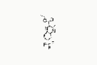 CCOC(=O)c1nc2ccc(C(F)(F)F)cc2nc1C